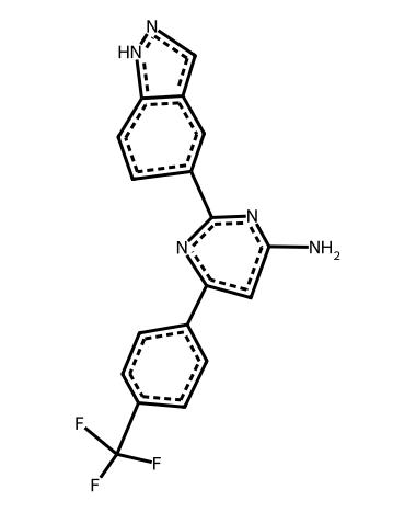 Nc1cc(-c2ccc(C(F)(F)F)cc2)nc(-c2ccc3[nH]ncc3c2)n1